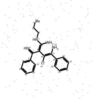 CCC(C)CCN/C(N)=C(C(=N)c1ccccc1)/C(Cl)=C(\N)c1ccccc1